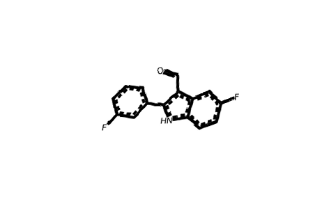 O=Cc1c(-c2cccc(F)c2)[nH]c2ccc(F)cc12